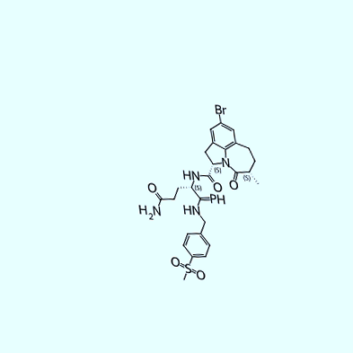 C[C@H]1CCc2cc(Br)cc3c2N(C1=O)[C@H](C(=O)N[C@@H](CCC(N)=O)C(=P)NCc1ccc(S(C)(=O)=O)cc1)C3